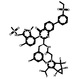 CCS(=O)(=O)c1cccc(-c2ccc3c(=O)n(-c4ccc(Cl)c5c(NS(C)(=O)=O)nn(C)c45)c([C@H](Cc4cc(F)cc(F)c4)NC(=O)Cn4nc(C(F)F)c5c4C(F)(F)[C@@H]4C[C@H]54)nc3c2)c1